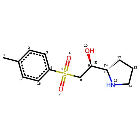 Cc1ccc(S(=O)(=O)C[C@@H](O)[C@@H]2CCCN2)cc1